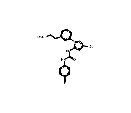 CCOC(=O)CCc1cccc(-n2nc(C(C)(C)C)cc2NC(=O)Nc2ccc(F)cc2)c1